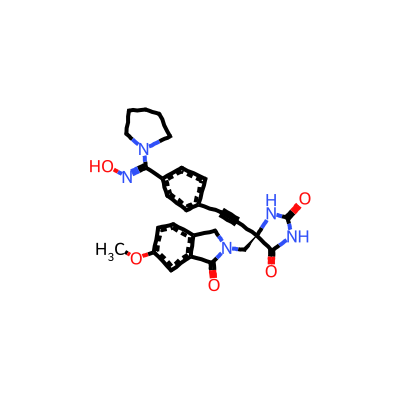 COc1ccc2c(c1)C(=O)N(C[C@@]1(C#Cc3ccc(C(=NO)N4CCCCC4)cc3)NC(=O)NC1=O)C2